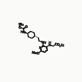 CCOC(=O)CNc1ccc(OC)nc1NCC[C@H]1CC[C@H](NC(=O)OC(C)(C)C)CC1